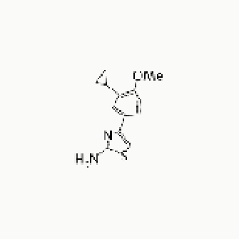 COc1ccc(-c2csc(N)n2)cc1C1CC1